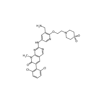 Cn1c(=O)c(-c2c(Cl)cccc2Cl)cc2cnc(Nc3cnc(OCCN4CCS(=O)(=O)CC4)c(CN)c3)nc21